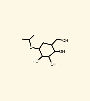 CC(C)OC1CC(CO)C(O)C(O)C1O